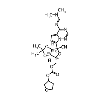 CN(C)C=Nc1ncnn2c([C@]3(C#N)O[C@H](COC(=O)OC4CCOC4)[C@H]4OC(C)(C)O[C@H]43)ccc12